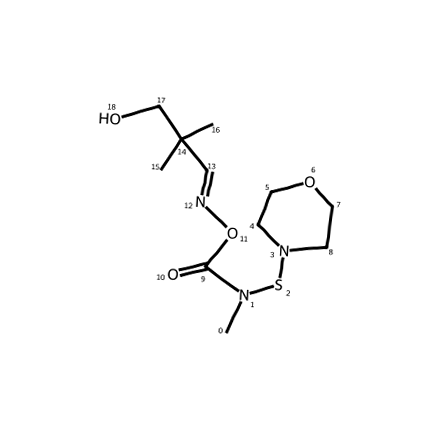 CN(SN1CCOCC1)C(=O)ON=CC(C)(C)CO